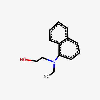 N#CCN(CCO)c1cccc2ccccc12